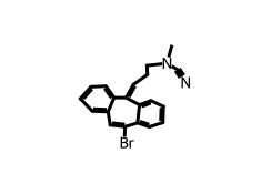 CN(C#N)CCC=C1c2ccccc2C=C(Br)c2ccccc21